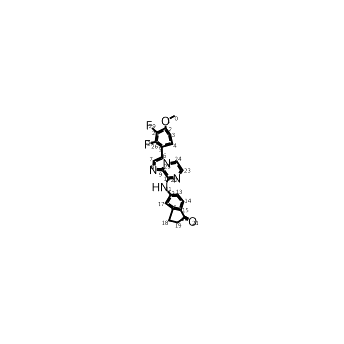 COc1ccc(-c2cnc3c(Nc4ccc5c(c4)CCC5=O)nccn23)c(F)c1F